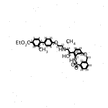 C.CCOC(=O)c1ccc(-c2ccc(OCCNCC(O)c3ccc4cc3NS(=O)(=O)c3cccc(c3)CO4)cc2)c(C)c1